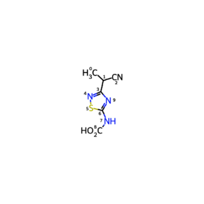 CC(C#N)c1nsc(NC(=O)O)n1